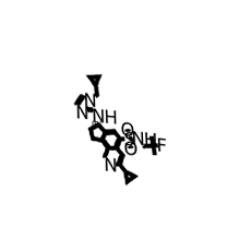 CC(C)(F)CNS(=O)(=O)c1cc2c(c3cnc(C4CC4)cc13)CC[C@H]2Nc1nccn1CC1CC1